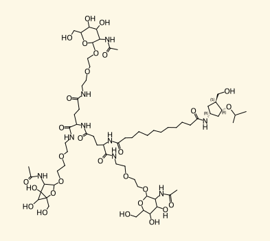 CC(=O)NC1C(OCCOCCNC(=O)CCC(NC(=O)CCC(NC(=O)CCCCCCCCCCC(=O)N[C@@H]2C[C@@H](CO)[C@H](OC(C)C)C2)C(=O)NCCOCCOC2OC(CO)C(O)C(O)C2NC(C)=O)C(=O)NCCOCCOC2OC3(CO)C(O)C3(O)C2NC(C)=O)OC(CO)C(O)C1O